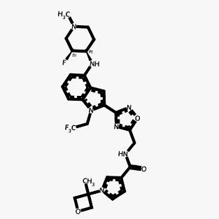 CN1CC[C@@H](Nc2cccc3c2cc(-c2noc(CNC(=O)c4ccn(C5(C)COC5)c4)n2)n3CC(F)(F)F)[C@@H](F)C1